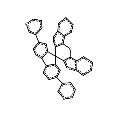 c1cncc(-c2ccc3c(c2)C2(c4cc(-c5cccnc5)ccc4-3)c3ccc4ccccc4c3Oc3c2ccc2ccccc32)c1